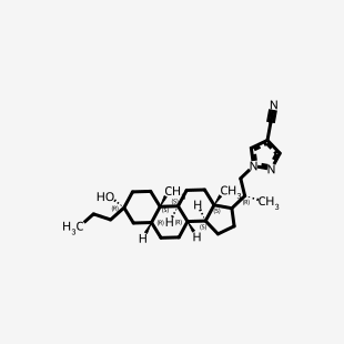 CCC[C@@]1(O)CC[C@@]2(C)[C@H](CC[C@@H]3[C@@H]2CC[C@]2(C)C([C@@H](C)Cn4cc(C#N)cn4)CC[C@@H]32)C1